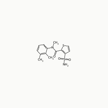 Cc1cccc(N(C)C(=O)c2sccc2S(N)(=O)=O)c1C